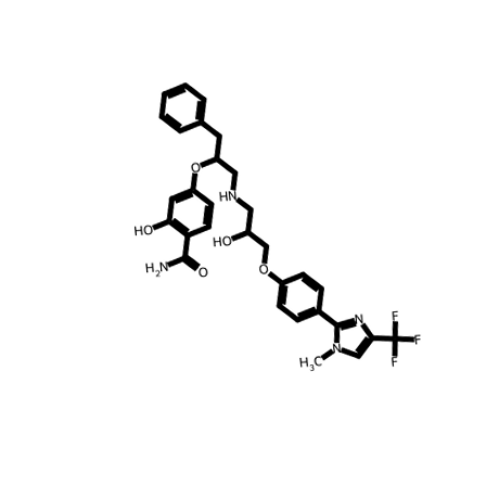 Cn1cc(C(F)(F)F)nc1-c1ccc(OCC(O)CNCC(Cc2ccccc2)Oc2ccc(C(N)=O)c(O)c2)cc1